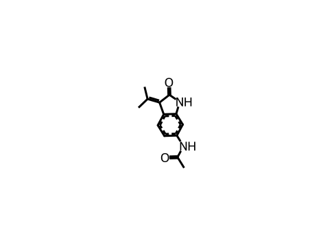 CC(=O)Nc1ccc2c(c1)NC(=O)C2=C(C)C